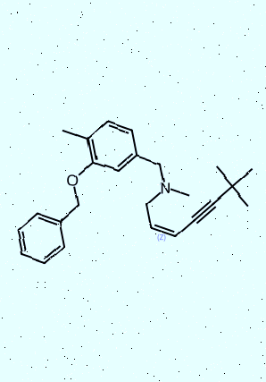 Cc1ccc(CN(C)C/C=C\C#CC(C)(C)C)cc1OCc1ccccc1